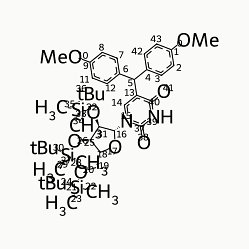 COc1ccc(C(c2ccc(OC)cc2)c2cn([C@@H]3O[C@H](CO[Si](C)(C)C(C)(C)C)[C@@H](O[Si](C)(C)C(C)(C)C)[C@H]3O[Si](C)(C)C(C)(C)C)c(=O)[nH]c2=O)cc1